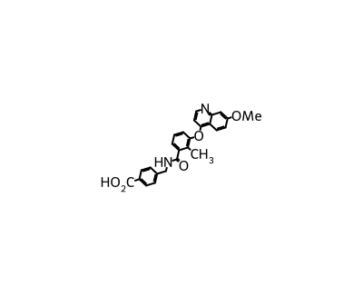 COc1ccc2c(Oc3cccc(C(=O)NCc4ccc(C(=O)O)cc4)c3C)ccnc2c1